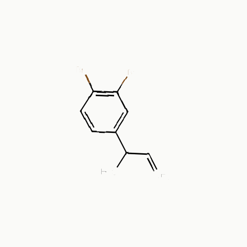 C=C[C](C)c1ccc(Br)c(Br)c1